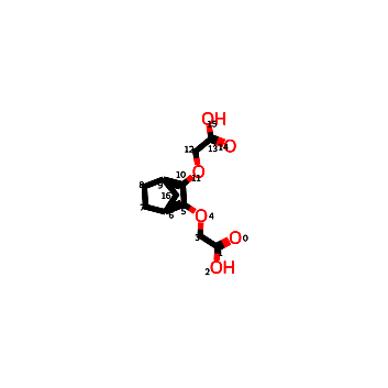 O=C(O)COC1=C2CCC(=C1OCC(=O)O)C2